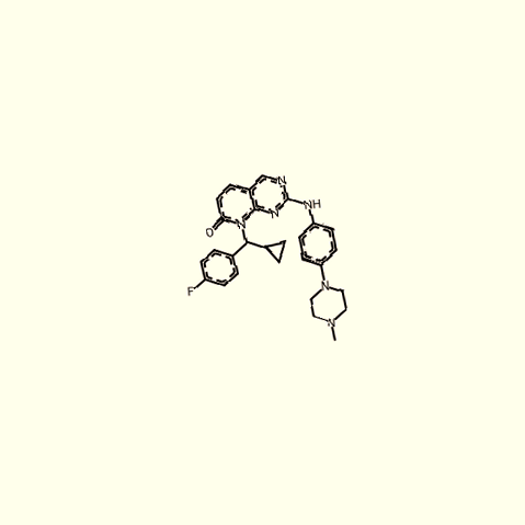 CN1CCN(c2ccc(Nc3ncc4ccc(=O)n(C(c5ccc(F)cc5)C5CC5)c4n3)cc2)CC1